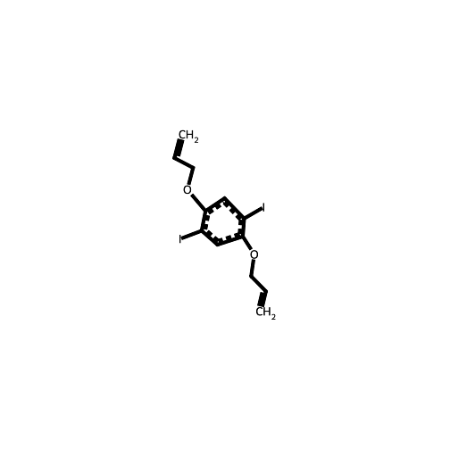 C=CCOc1cc(I)c(OCC=C)cc1I